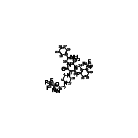 Cc1c(N2CCN(Cc3nnc(C(F)(F)F)o3)CC2)c(=O)n(C[C@H](N)c2ccccc2)c(=O)n1Cc1c(F)cccc1C(F)(F)F